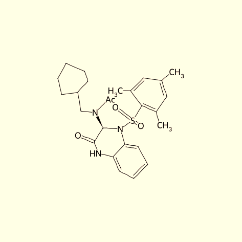 CC(=O)N(CC1CCCCC1)[C@@H]1C(=O)Nc2ccccc2N1S(=O)(=O)c1c(C)cc(C)cc1C